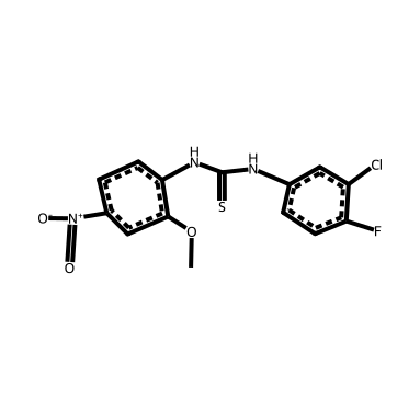 COc1cc([N+](=O)[O-])ccc1NC(=S)Nc1ccc(F)c(Cl)c1